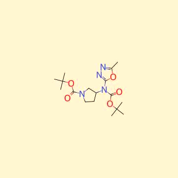 Cc1nnc(N(C(=O)OC(C)(C)C)C2CCN(C(=O)OC(C)(C)C)C2)o1